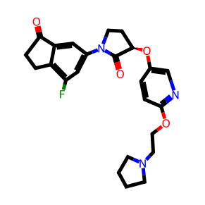 O=C1CCc2c(F)cc(N3CC[C@@H](Oc4ccc(OCCN5CCCC5)nc4)C3=O)cc21